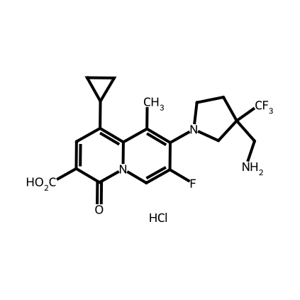 Cc1c(N2CCC(CN)(C(F)(F)F)C2)c(F)cn2c(=O)c(C(=O)O)cc(C3CC3)c12.Cl